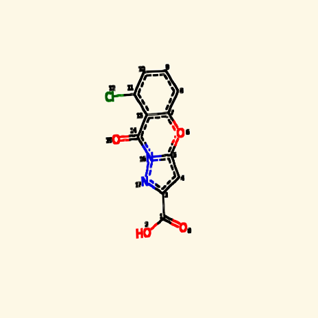 O=C(O)c1cc2oc3cccc(Cl)c3c(=O)n2n1